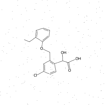 CCc1ccccc1OCc1cc(Cl)ccc1C(O)C(=O)O